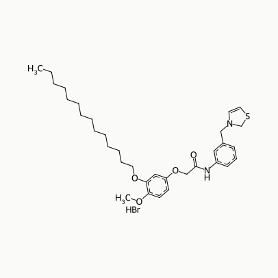 Br.CCCCCCCCCCCCCCOc1cc(OCC(=O)Nc2cccc(CN3C=CSC3)c2)ccc1OC